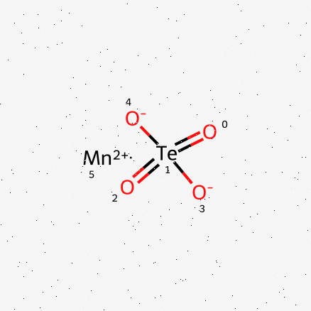 O=[Te](=O)([O-])[O-].[Mn+2]